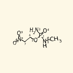 CNP(N)(=O)OCC[N+](=O)[O-]